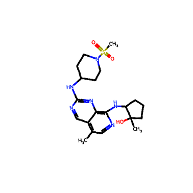 Cc1cnc(NC2CCCC2(C)O)c2nc(NC3CCN(S(C)(=O)=O)CC3)ncc12